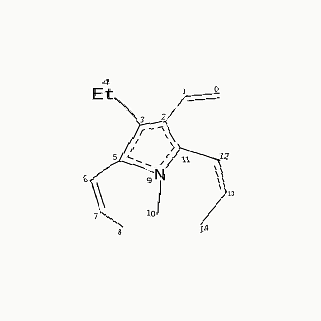 C=Cc1c(CC)c(/C=C\C)n(C)c1/C=C\C